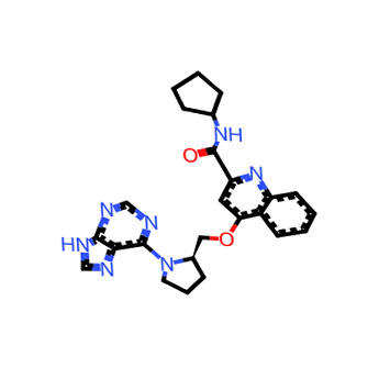 O=C(NC1CCCC1)c1cc(OC[C@H]2CCCN2c2ncnc3[nH]cnc23)c2ccccc2n1